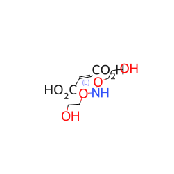 O=C(O)/C=C/C(=O)O.OCCONOCCO